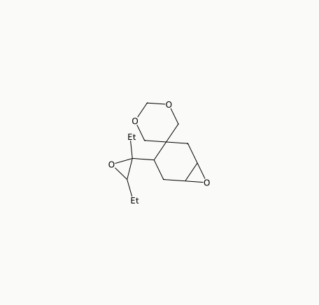 CCC1OC1(CC)C1CC2OC2CC12COCOC2